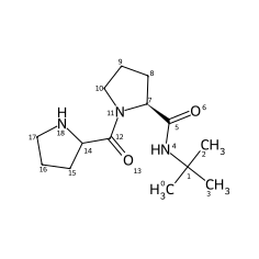 CC(C)(C)NC(=O)[C@@H]1CCCN1C(=O)C1CCCN1